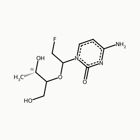 C[C@H](O)C(CO)OC(CF)n1ccc(N)nc1=O